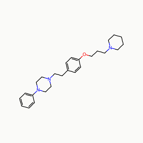 c1ccc(N2CCN(CCc3ccc(OCCCN4CCCCC4)cc3)CC2)cc1